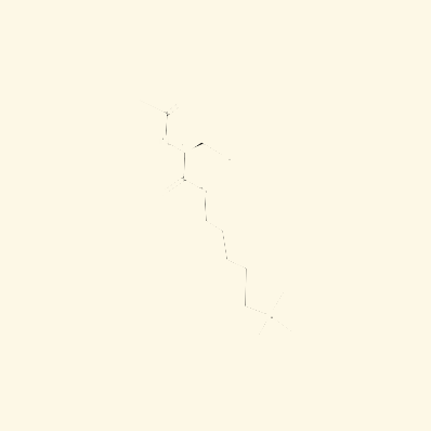 CC(=O)N[C@@H](CS)C(=O)NCCCCC[Si](C)(C)C